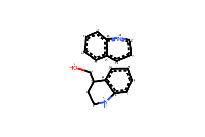 OCC1CCNc2ccccc21.c1ccc2ncccc2c1